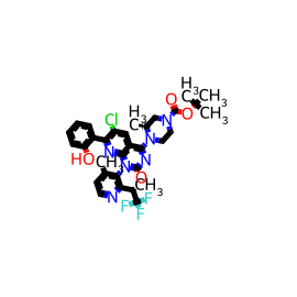 Cc1ccnc(C(C)C(F)(F)F)c1-n1c(=O)nc(N2CCN(C(=O)OC(C)(C)C)C[C@@H]2C)c2cc(Cl)c(-c3ccccc3O)nc21